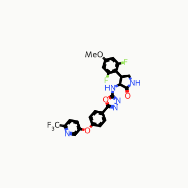 COc1cc(F)c(C2CNC(=O)C2Nc2nnc(-c3ccc(Oc4ccc(C(F)(F)F)nc4)cc3)o2)c(F)c1